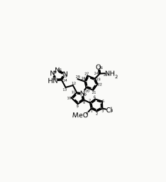 COc1cc(Cl)ccc1-c1ccc(CCc2nnn[nH]2)n1-c1ccc(C(N)=O)cc1C